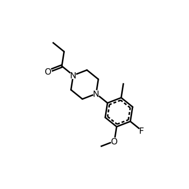 CCC(=O)N1CCN(c2cc(OC)c(F)cc2C)CC1